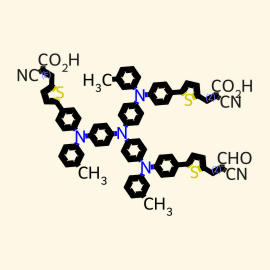 Cc1cccc(N(c2ccc(-c3ccc(/C=C(/C#N)C=O)s3)cc2)c2ccc(N(c3ccc(N(c4ccc(-c5ccc(/C=C(/C#N)C(=O)O)s5)cc4)c4cccc(C)c4)cc3)c3ccc(N(c4ccc(-c5ccc(/C=C(\C#N)C(=O)O)s5)cc4)c4cccc(C)c4)cc3)cc2)c1